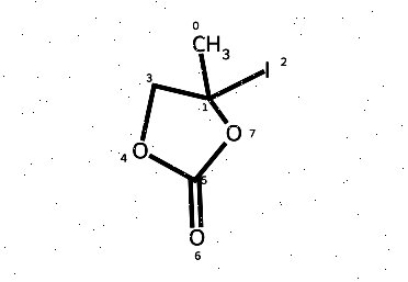 CC1(I)COC(=O)O1